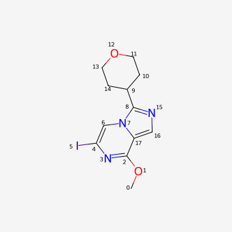 COc1nc(I)cn2c(C3CCOCC3)ncc12